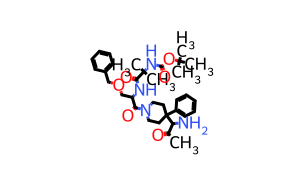 CC(=O)C(N)C1(c2ccccc2)CCN(C(=O)C(COCc2ccccc2)NC(=O)C(C)(C)NC(=O)OC(C)(C)C)CC1